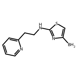 Bc1csc(NCCc2ccccn2)n1